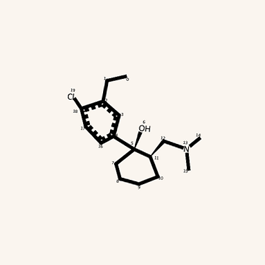 CCc1cc([C@@]2(O)CCCC[C@@H]2CN(C)C)ccc1Cl